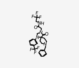 O=C(CN1CN(c2cccc(C(F)(F)F)c2)C2(CCN(Cc3ccccc3)CC2)C1=O)NCC(F)(F)F